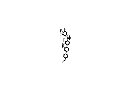 CCCc1ccc(-c2ccc(-c3ccc(C(F)(F)Oc4cc(F)c(F)c(F)c4)c(F)c3F)c(F)c2)cc1